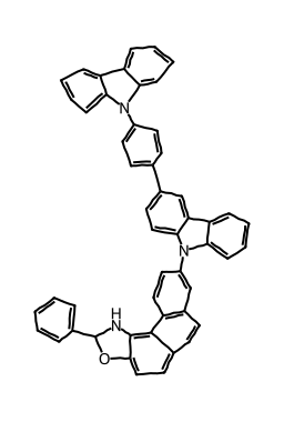 c1ccc(C2Nc3c(ccc4ccc5cc(-n6c7ccccc7c7cc(-c8ccc(-n9c%10ccccc%10c%10ccccc%109)cc8)ccc76)ccc5c34)O2)cc1